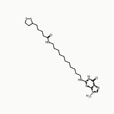 Cn1cnc2c(=O)[nH]c(NCCCCCCCCCCCNC(=O)CCCCC3CCSS3)nc21